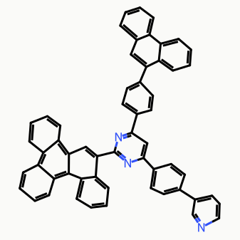 c1cncc(-c2ccc(-c3cc(-c4ccc(-c5cc6ccccc6c6ccccc56)cc4)nc(-c4cc5c6ccccc6c6ccccc6c5c5ccccc45)n3)cc2)c1